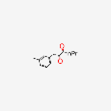 CCCC(=O)C(=O)Cc1cccc(C)c1